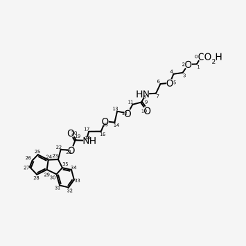 O=C(O)COCCOCCNC(=O)COCCOCCNC(=O)OCC1c2ccccc2-c2ccccc21